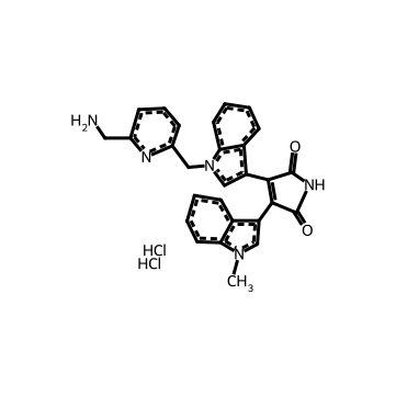 Cl.Cl.Cn1cc(C2=C(c3cn(Cc4cccc(CN)n4)c4ccccc34)C(=O)NC2=O)c2ccccc21